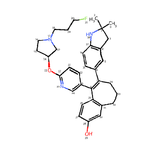 CC1(C)Cc2cc(C3=C(c4ccc(O[C@H]5CCN(CCCF)C5)nc4)c4ccc(O)cc4CCC3)ccc2N1